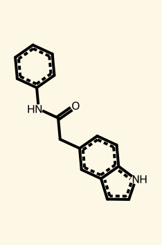 O=C(Cc1ccc2[nH]ccc2c1)Nc1ccccc1